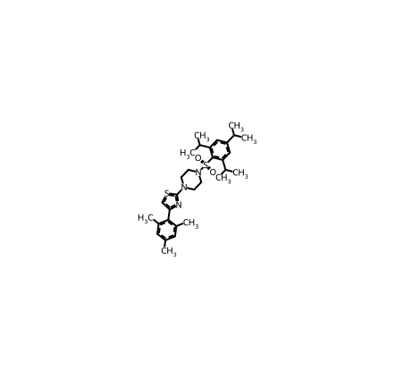 Cc1cc(C)c(-c2csc(N3CCN(S(=O)(=O)c4c(C(C)C)cc(C(C)C)cc4C(C)C)CC3)n2)c(C)c1